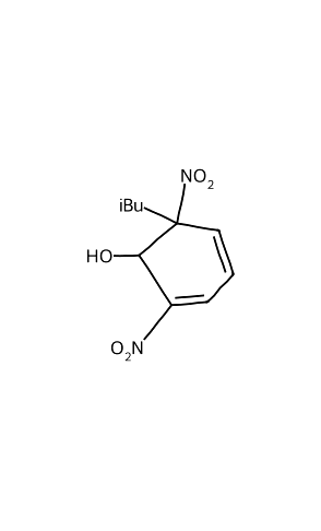 CCC(C)C1([N+](=O)[O-])C=CC=C([N+](=O)[O-])C1O